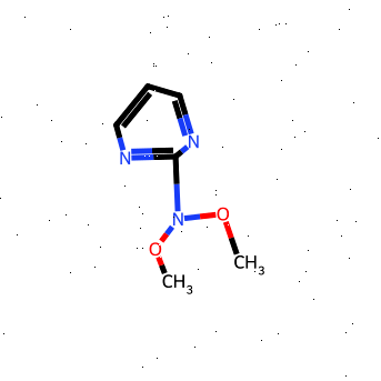 CON(OC)c1ncccn1